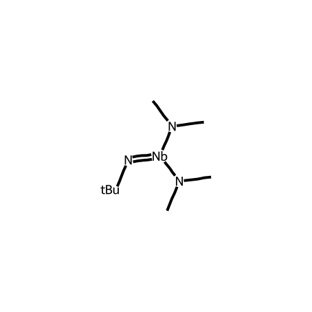 C[N](C)[Nb](=[N]C(C)(C)C)[N](C)C